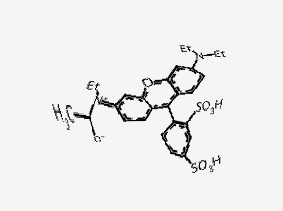 CCN(CC)c1ccc2c(-c3ccc(S(=O)(=O)O)cc3S(=O)(=O)O)c3ccc(=[N+](CC)C(C)[O-])cc-3oc2c1